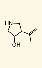 C=C(C)C1CNCC1O